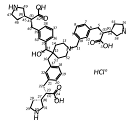 Cl.O=C(O)[C@@H](Cc1cccc(CN2CCC(Cc3cccc(C[C@H](C(=O)O)[C@H]4CCNC4)c3)(C(O)c3cccc(C[C@H](C(=O)O)[C@H]4CCNC4)c3)CC2)c1)[C@H]1CCNC1